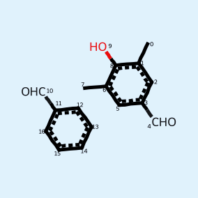 Cc1cc(C=O)cc(C)c1O.O=Cc1ccccc1